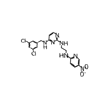 O=[N+]([O-])c1ccc(NCCNc2nccc(NCc3cc(Cl)cc(Cl)c3)n2)nc1